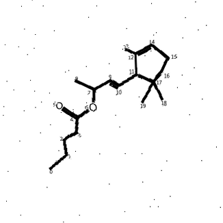 CCCCC(=O)OC(C)/C=C/C1C(C)=CCCC1(C)C